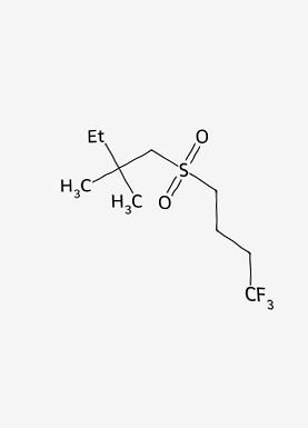 CCC(C)(C)CS(=O)(=O)CCCC(F)(F)F